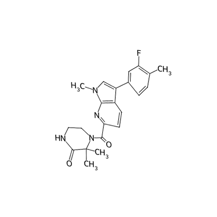 Cc1ccc(-c2cn(C)c3nc(C(=O)N4CCNC(=O)C4(C)C)ccc23)cc1F